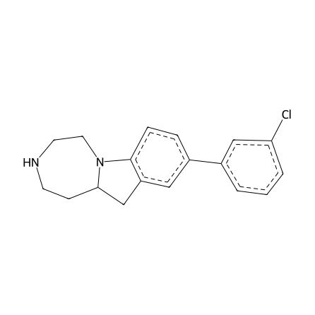 Clc1cccc(-c2ccc3c(c2)CC2CCNCCN32)c1